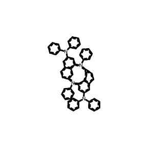 c1ccc(N(c2ccccc2)c2cc3ccc4cc3c(c2)n(-c2ccccc2)c2ccc3cc(N(c5ccccc5)c5ccccc5)cc(c3c2)n4-c2ccccc2)cc1